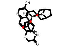 COc1ccc2ncc(C#N)c(CCN3C4CCC3CC(N(C)c3ccc5c(c3)NC(=O)CO5)C4)c2c1